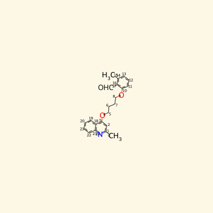 Cc1cc(OCCCCOc2cccc(C)c2C=O)c2ccccc2n1